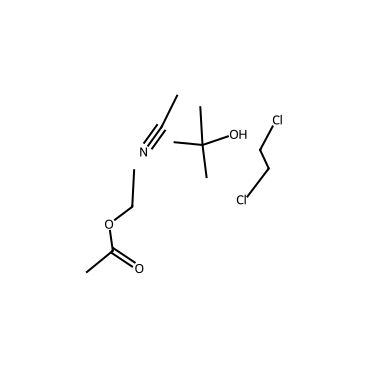 CC#N.CC(C)(C)O.CCOC(C)=O.ClCCCl